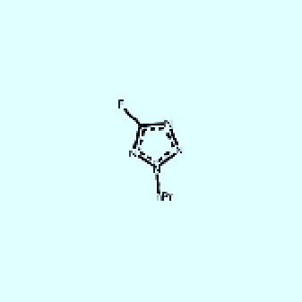 CCCn1nnc(F)n1